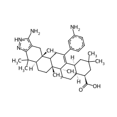 CC1(C)C[C@@H]2C3=C(c4cccc(N)c4)CC4[C@@]5(C)Cc6c(n[nH]c6N)C(C)(C)[C@@H]5CC[C@@]4(C)[C@]3(C)CC[C@@H]2[C@H](C(=O)O)C1